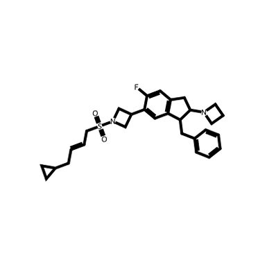 O=S(=O)(CC=CCC1CC1)N1CC(c2cc3c(cc2F)CC(N2CCC2)C3Cc2ccccc2)C1